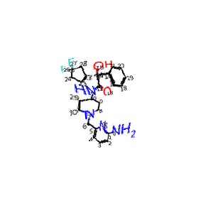 Nc1cccc(CN2CCC(NC(=O)C(O)(c3ccccc3)[C@@H]3CCC(F)(F)C3)CC2)n1